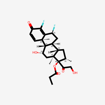 CCC(=O)O[C@]1(C(=O)CO)[C@@H](C)C[C@H]2[C@@H]3C[C@H](F)C4=C(F)C(=O)C=C[C@]4(C)[C@H]3[C@@H](O)C[C@@]21C